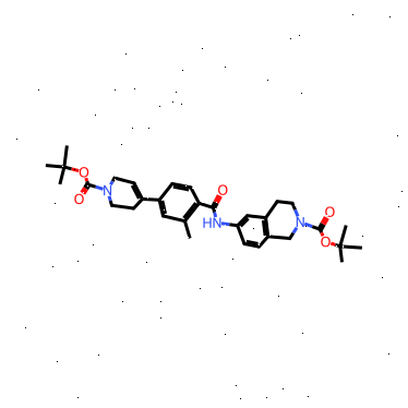 Cc1cc(C2=CCN(C(=O)OC(C)(C)C)CC2)ccc1C(=O)Nc1ccc2c(c1)CCN(C(=O)OC(C)(C)C)C2